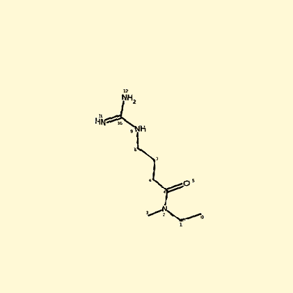 CCN(C)C(=O)[CH]CCNC(=N)N